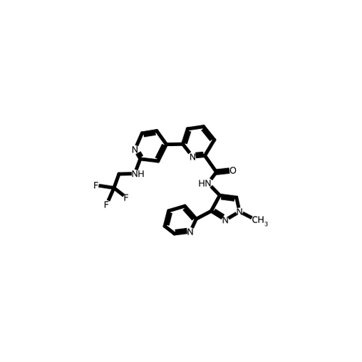 Cn1cc(NC(=O)c2cccc(-c3ccnc(NCC(F)(F)F)c3)n2)c(-c2ccccn2)n1